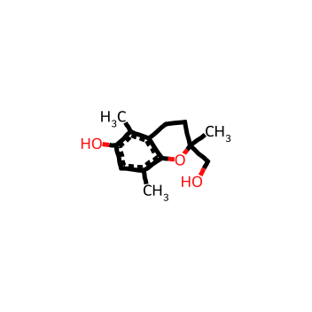 Cc1cc(O)c(C)c2c1OC(C)(CO)CC2